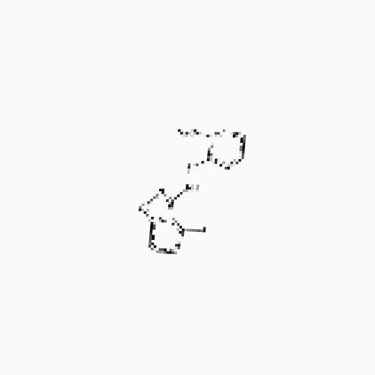 COc1ccccc1SNc1noc2cccc(F)c12